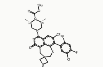 C[C@@H]1CN(c2nc(=O)n3c4c(c(-c5cc(Cl)c(F)cc5F)c(C(F)(F)F)cc24)SCC2(CNC2)C3)C[C@H](C)N1C(=O)OC(C)(C)C